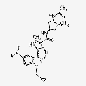 CC(=O)NC1CC(NC(=O)c2c(C)[nH]c3c(-c4cc(C(F)F)ccc4OCC4CC4)ncnc23)CC1C